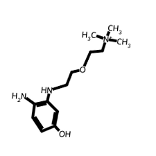 C[N+](C)(C)CCOCCNc1cc(O)ccc1N